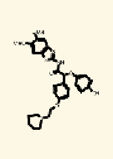 COc1cc2nc(NC(=O)C(Oc3ccc(C#N)cc3)c3ccc(OCCN4CCCCC4)cc3)sc2cc1OC